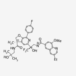 CCc1cnc2c(OC)cc(C(=O)NC[C@](O)(c3cc4c(c(-c5ccc(F)cc5)n3)OC[C@]4(C)C(=O)NCC(C)(C)O)C(F)(F)F)cc2c1